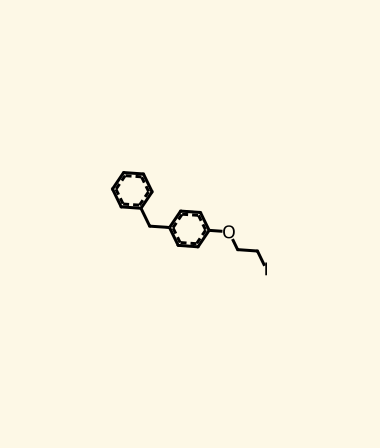 ICCOc1ccc(Cc2ccccc2)cc1